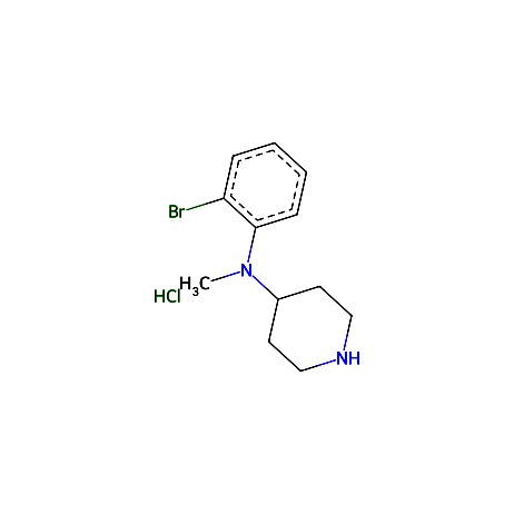 CN(c1ccccc1Br)C1CCNCC1.Cl